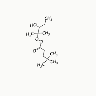 CCC(O)C(C)(C)OOC(=O)CCC(C)(C)C